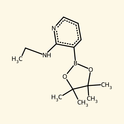 CCNc1ncccc1B1OC(C)(C)C(C)(C)O1